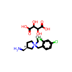 CC[N+]1(Cc2ccc(Cl)cc2Cl)CC[C@H](CN)C1.O=C(O)C(O)C(O)C(=O)O